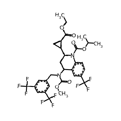 CCOC(=O)C1CC1C1CC(N(Cc2cc(C(F)(F)F)cc(C(F)(F)F)c2)C(=O)OC)c2cc(C(F)(F)F)ccc2N1C(=O)OC(C)C